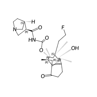 C[C@@H]1CCC23CCC(=O)C2[C@]1(C)[C@H](OC(=O)NC(=O)[C@H]1CN2CC[C@@H]1C2)C[C@@](C)(CCF)[C@@H](O)[C@@H]3C